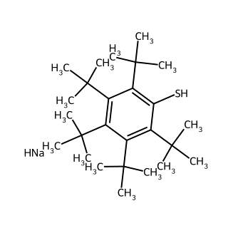 CC(C)(C)c1c(S)c(C(C)(C)C)c(C(C)(C)C)c(C(C)(C)C)c1C(C)(C)C.[NaH]